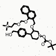 CC(C)(C)OC(=O)ON1CCC(c2ccc(CO)cc2)C(OCc2ccc3ccccc3c2OCOCC[Si](C)(C)C)C1